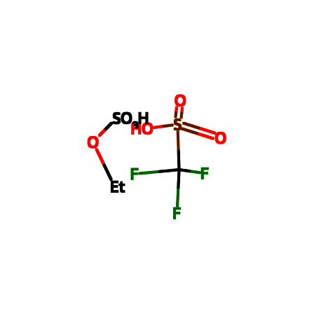 CCOS(=O)(=O)O.O=S(=O)(O)C(F)(F)F